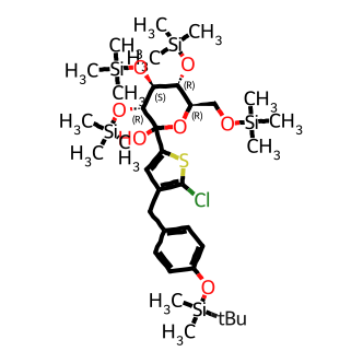 CC(C)(C)[Si](C)(C)Oc1ccc(Cc2cc(C3(O)O[C@H](CO[Si](C)(C)C)[C@@H](O[Si](C)(C)C)[C@H](O[Si](C)(C)C)[C@H]3O[Si](C)(C)C)sc2Cl)cc1